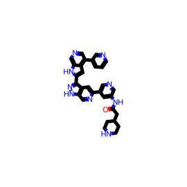 O=C(CC1CCNCC1)Nc1cncc(-c2cc3c(-c4cc5c(-c6cccnc6)cncc5[nH]4)n[nH]c3cn2)c1